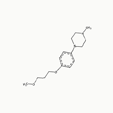 COCCCOc1ccc(N2CCN(C)CC2)cc1